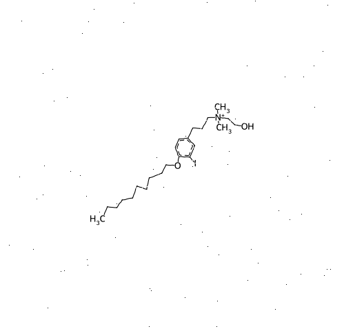 CCCCCCCCCCOc1ccc(CCC[N+](C)(C)CCO)cc1I